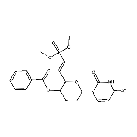 COP(=O)(/C=C/C1OC(n2ccc(=O)[nH]c2=O)CCC1OC(=O)c1ccccc1)OC